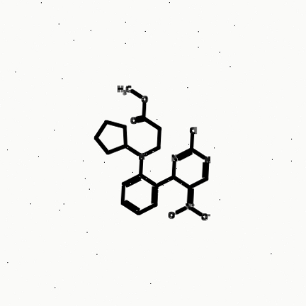 COC(=O)CCN(c1ccccc1C1N=C(Cl)N=CC1=[N+]([O-])[O-])C1CCCC1